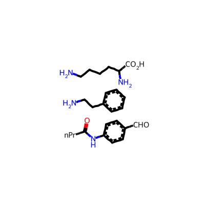 CCCC(=O)Nc1ccc(C=O)cc1.NCCCCC(N)C(=O)O.NCCc1ccccc1